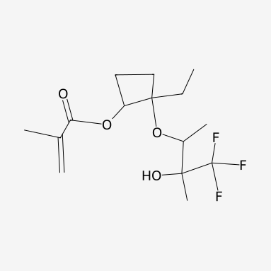 C=C(C)C(=O)OC1CCC1(CC)OC(C)C(C)(O)C(F)(F)F